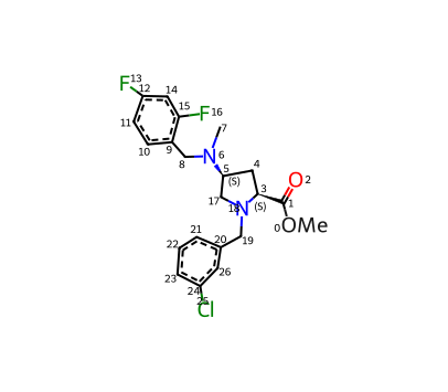 COC(=O)[C@@H]1C[C@H](N(C)Cc2ccc(F)cc2F)CN1Cc1cccc(Cl)c1